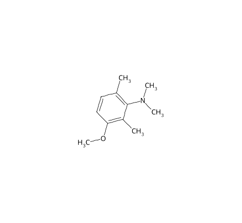 COc1ccc(C)c(N(C)C)c1C